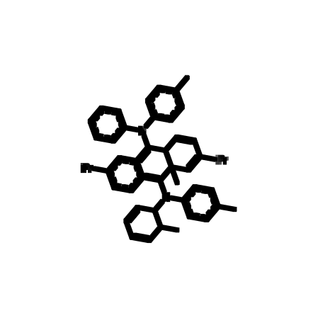 Cc1ccc(N(C2=c3cc(C(C)C)ccc3=C(N(c3ccc(C)cc3)C3C=CC=CC3C)C3(C)C=C(C(C)C)C=CC23)c2ccccc2)cc1